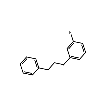 Fc1cccc([CH]CCc2ccccc2)c1